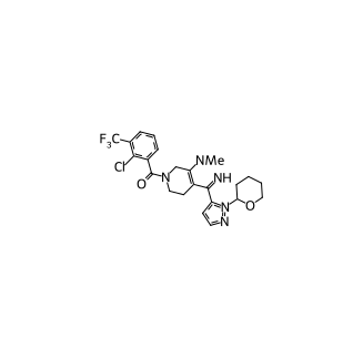 CNC1=C(C(=N)c2ccnn2C2CCCCO2)CCN(C(=O)c2cccc(C(F)(F)F)c2Cl)C1